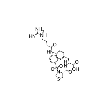 N=C(N)NCCCC(=O)Nc1ccc(C[C@H](NC(=O)[C@@H]2CSCN2S(=O)(=O)c2ccccc2)C(=O)O)cc1